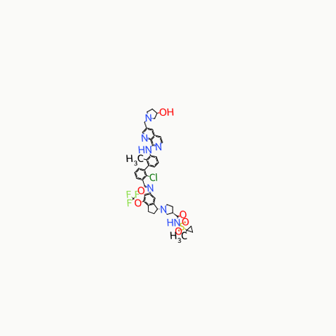 Cc1c(Nc2nccc3cc(CN4CC[C@@H](O)C4)cnc23)cccc1-c1cccc(-c2nc3cc4c(c(OC(F)(F)F)c3o2)CC[C@H]4N2CC[C@@H](C(=O)NS(=O)(=O)C3(C)CC3)C2)c1Cl